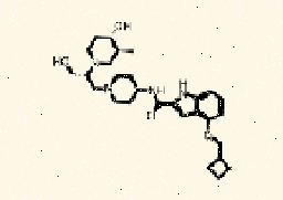 C[C@H]1CN([C@@H](CO)CN2CCC(NC(=O)c3cc4c(OCC5CCC5)cccc4[nH]3)CC2)CC[C@@H]1O